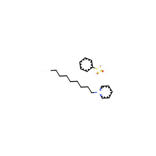 CCCCCCCCCCCCCCCCCC[n+]1ccccc1.O=S(=O)([O-])c1ccccc1